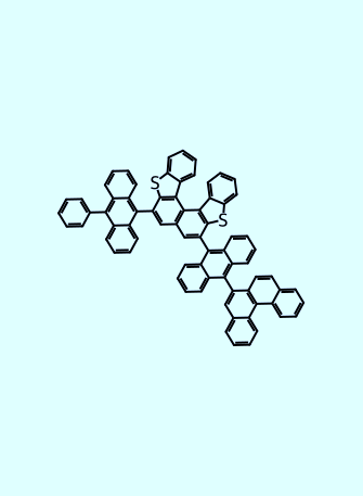 c1ccc(-c2c3ccccc3c(-c3cc4cc(-c5c6ccccc6c(-c6cc7ccccc7c7c6ccc6ccccc67)c6ccccc56)c5sc6ccccc6c5c4c4c3sc3ccccc34)c3ccccc23)cc1